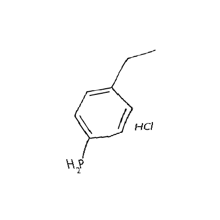 CCc1ccc(P)cc1.Cl